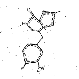 Cc1cc2c(=O)[nH]cc(Cc3ccc(F)c(C#N)c3)n2c1